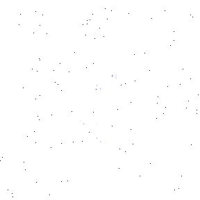 Cc1nc(N)sc1-c1ccnc(C2CCC2)n1